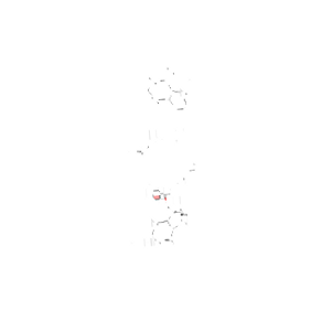 Cc1nc2c(nnn2[C@@H]2O[C@@H]3COP(=O)(O)O[C@H]4C[C@H](c5snc6c(N)ncnc56)O[C@@H]4COP(=O)(O)O[C@@H]2[C@@H]3O)c(=O)[nH]1